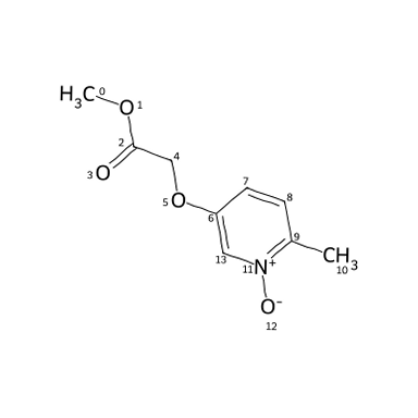 COC(=O)COc1ccc(C)[n+]([O-])c1